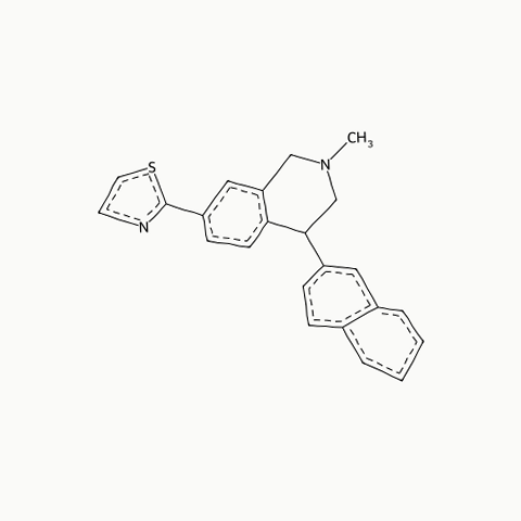 CN1Cc2cc(-c3nccs3)ccc2C(c2ccc3ccccc3c2)C1